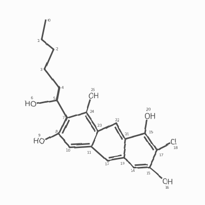 CCCCCC(O)c1c(O)cc2cc3cc(O)c(Cl)c(O)c3cc2c1O